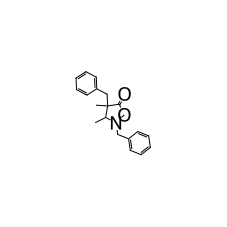 CC1N(Cc2ccccc2)OC(=O)C1(C)Cc1ccccc1